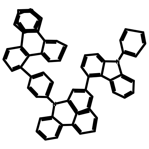 c1ccc(-c2ccccc2-c2c(-c3ccccc3)cccc2-c2ccc(N(c3cccc(-c4cccc5c4c4ccccc4n5-c4ccccc4)c3)c3ccccc3-c3ccccc3)cc2)cc1